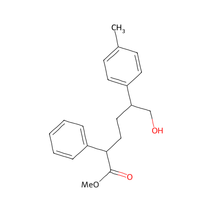 COC(=O)C(CCC(CO)c1ccc(C)cc1)c1ccccc1